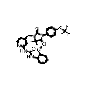 COc1ccccc1NC(=O)Nc1cc(CN2C(=O)N(c3ccc(SC(F)(F)F)cc3)C(=O)C2(C)C)ccn1